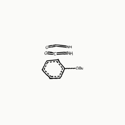 CC(C)COc1ccccc1.N=C=O.N=C=O